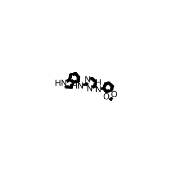 c1cc(Nc2ccnc(Nc3cccc4[nH]ccc34)n2)c2c(c1)OCO2